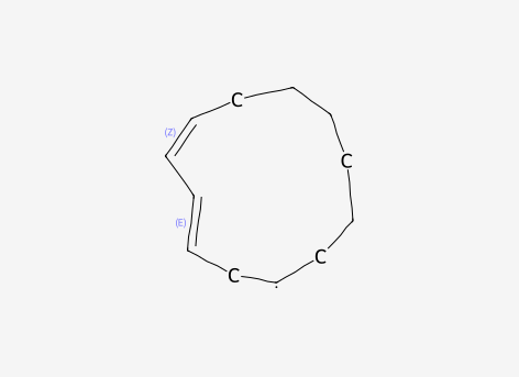 [CH]1C/C=C/C=C\CCCCCC1